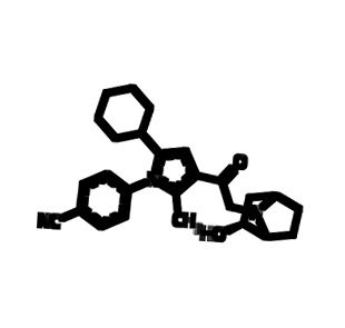 Cc1c(C(=O)CN2C3CCC2[C@@H](O)C3)cc(C2CCCCC2)n1-c1ccc(C#N)cc1